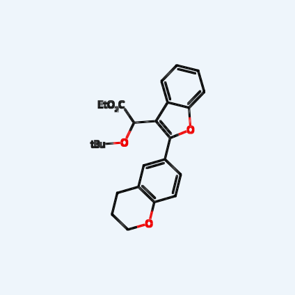 CCOC(=O)C(OC(C)(C)C)c1c(-c2ccc3c(c2)CCCO3)oc2ccccc12